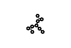 c1ccc(-c2ccc(-c3cc(-c4ccc5c(c4)c4ccccc4n5-c4ccccc4)cc(-c4ccc5c6ccccc6n(-c6ccccc6)c5c4)c3)cc2)cc1